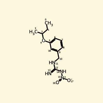 CCC(C)Oc1cccc(CNC(=N)N[N+](=O)[O-])c1